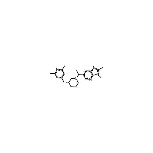 Cc1cc(C[C@H]2CCCN(C(C)c3cnc4c(c3)nc(C)n4C)C2)cc(C)n1